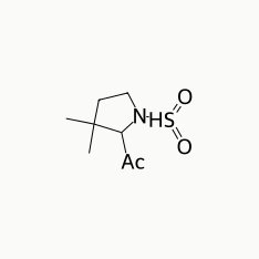 CC(=O)C1N([SH](=O)=O)CCC1(C)C